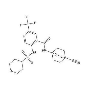 N#CC12CCC(NC(=O)c3cc(C(F)(F)F)ccc3NS(=O)(=O)C3CCOCC3)(CC1)CC2